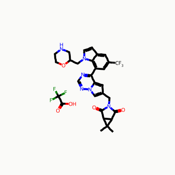 CC1(C)C2C(=O)N(Cc3cc4c(-c5cc(C(F)(F)F)cc6ccn(CC7CNCCO7)c56)ncnn4c3)C(=O)C21.O=C(O)C(F)(F)F